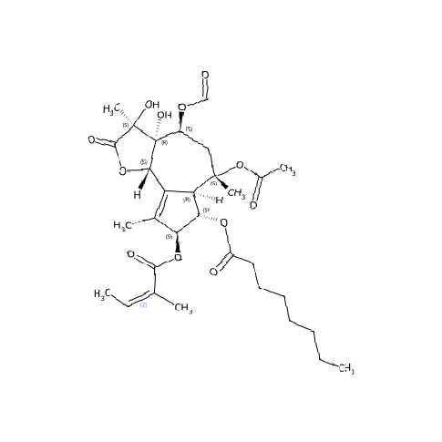 C/C=C(/C)C(=O)O[C@H]1C(C)=C2[C@H]([C@@H]1OC(=O)CCCCCCC)[C@@](C)(OC(C)=O)C[C@H](OC=O)[C@@]1(O)[C@H]2OC(=O)[C@@]1(C)O